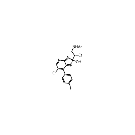 CC[C@@H](CNC(C)=O)C1(O)N=c2ncc(Cl)c(-c3ccc(F)cc3)c2=N1